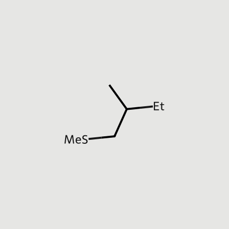 CCC(C)CSC